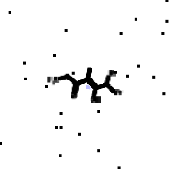 C/C(C(=O)CC(F)(F)F)=C(/O)C(C(C)C)C(C)C